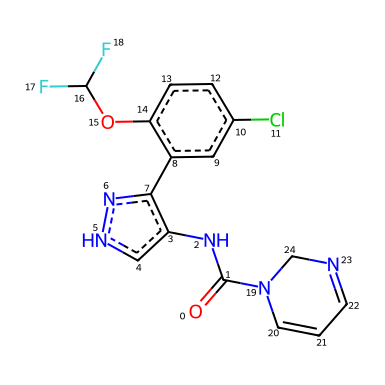 O=C(Nc1c[nH]nc1-c1cc(Cl)ccc1OC(F)F)N1C=CC=NC1